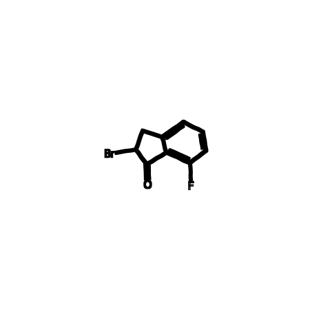 O=C1c2c(F)cccc2CC1Br